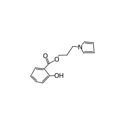 O=C(OCCCn1cccc1)c1ccccc1O